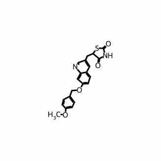 COc1ccc(COc2ccc3cc(CC4SC(=O)NC4=O)cnc3c2)cc1